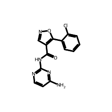 Nc1ccnc(NC(=O)c2cnoc2-c2ccccc2Cl)n1